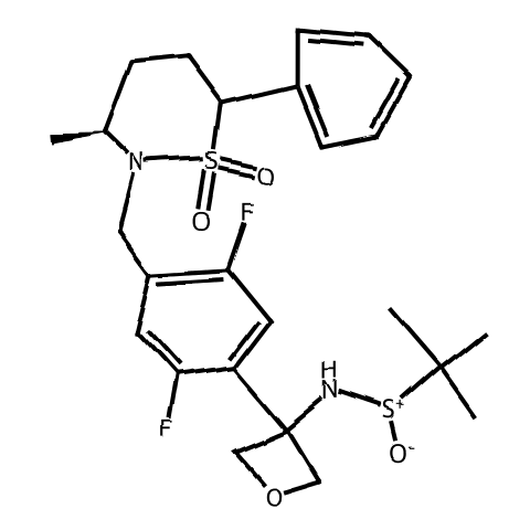 C[C@H]1CCC(c2ccccc2)S(=O)(=O)N1Cc1cc(F)c(C2(N[S+]([O-])C(C)(C)C)COC2)cc1F